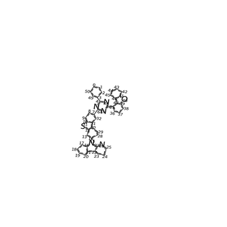 c1ccc(-c2nc(-c3ccc4sc5cc(-n6c7ccccc7c7cccnc76)ccc5c4c3)nc(-c3cccc4oc5ccccc5c34)n2)cc1